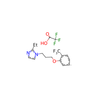 CCc1nccn1CCCOc1c[c]ccc1C(F)(F)F.O=C(O)C(F)(F)F